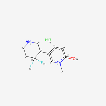 Cl.Cn1cc(C2CNCCC2(F)F)ccc1=O